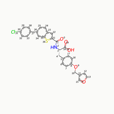 O=C(N[C@@H](Cc1ccc(OCc2ccoc2)cc1)C(=O)O)c1cc2ccc(-c3ccc(Cl)cc3)cc2s1